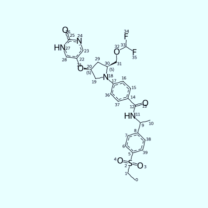 CCS(=O)(=O)c1ccc(C(C)NC(=O)c2ccc(N3C[C@@H](Oc4cnc(=O)[nH]c4)C[C@H]3COC(F)F)cc2)cc1